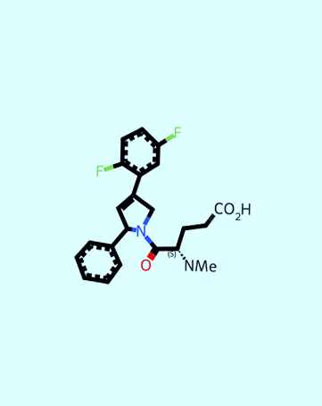 CN[C@@H](CCC(=O)O)C(=O)N1CC(c2cc(F)ccc2F)=CC1c1ccccc1